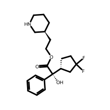 O=C(OCC[C@@H]1CCCNC1)[C@](O)(c1ccccc1)[C@@H]1CCC(F)(F)C1